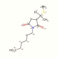 BSC(C)(CC)C1CC(=O)N(CCCCCC(=O)O)C1=O